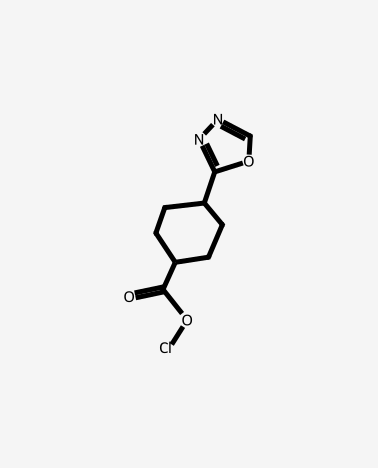 O=C(OCl)C1CCC(c2nnco2)CC1